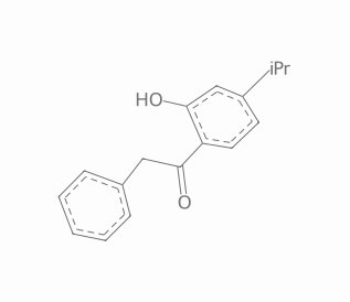 CC(C)c1ccc(C(=O)Cc2ccccc2)c(O)c1